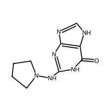 O=c1[nH]c(NN2CCCC2)nc2nc[nH]c12